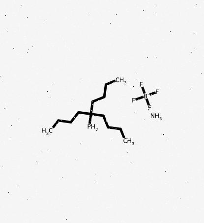 CCCCC(P)(CCCC)CCCC.F[B-](F)(F)F.N